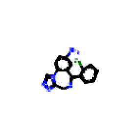 Nc1ccc2c(c1)C(c1ccccc1Cl)=NCc1nncn1-2